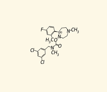 Cc1cc(F)ccc1[C@H]1CCN(C)CCN1OC(=O)N(C)Cc1cc(Cl)cc(Cl)c1